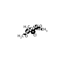 C=CC(=O)N1CCN(C(C)=O)[C@@H](c2cc(Cl)cc(-c3cc(C(=O)NC)ncn3)c2)C1